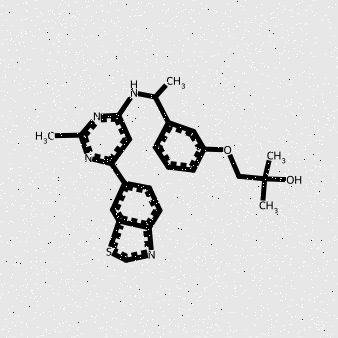 Cc1nc(NC(C)c2cccc(OCC(C)(C)O)c2)cc(-c2ccc3ncsc3c2)n1